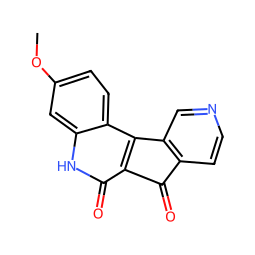 COc1ccc2c3c(c(=O)[nH]c2c1)C(=O)c1ccncc1-3